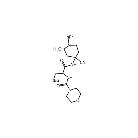 CCCN1CCC(C#N)(NC(=O)C(CC(C)(C)C)NC(=O)N2CCOCC2)CC1C